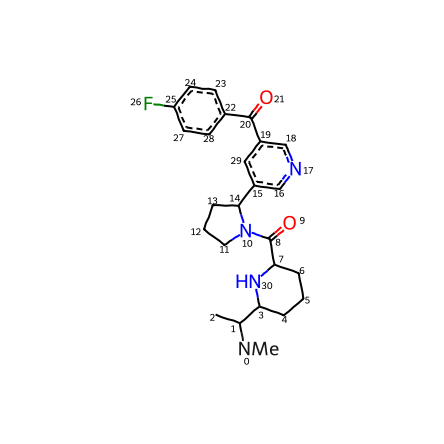 CNC(C)C1CCCC(C(=O)N2CCCC2c2cncc(C(=O)c3ccc(F)cc3)c2)N1